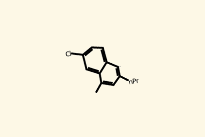 CCCc1[c]c2ccc(Cl)cc2c(C)c1